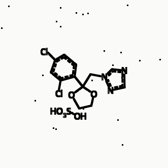 Clc1ccc(C2(Cn3cncn3)OCCO2)c(Cl)c1.O=S(=O)(O)O